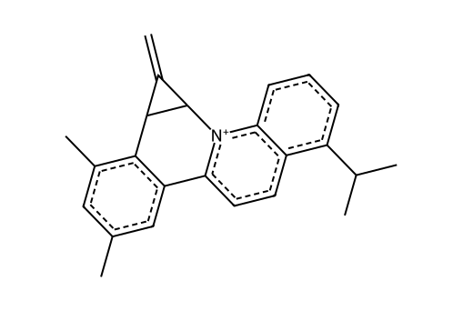 C=C1C2c3c(C)cc(C)cc3-c3ccc4c(C(C)C)cccc4[n+]3C12